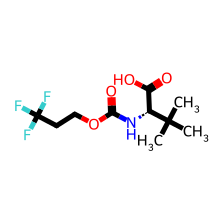 CC(C)(C)[C@H](NC(=O)OCCC(F)(F)F)C(=O)O